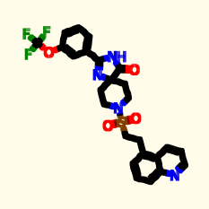 O=C1NC(c2cccc(OC(F)(F)F)c2)=NC12CCN(S(=O)(=O)CCc1cccc3ncccc13)CC2